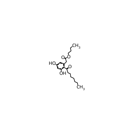 CCCCCCCC(=O)c1c(O)cc(O)cc1CC(=O)OCCCC